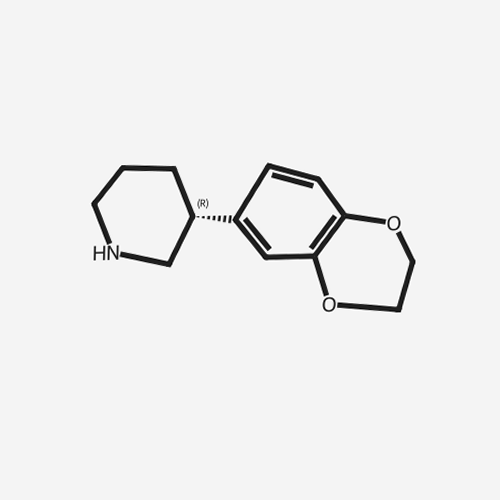 c1cc2c(cc1[C@H]1CCCNC1)OCCO2